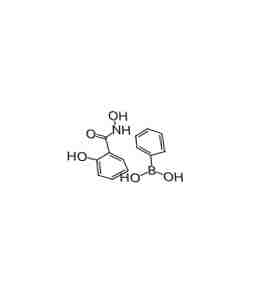 O=C(NO)c1ccccc1O.OB(O)c1ccccc1